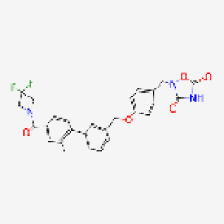 Cc1cc(C(=O)N2CC(F)(F)C2)ccc1-c1cccc(COc2ccc(Cn3oc(=O)[nH]c3=O)cc2)c1